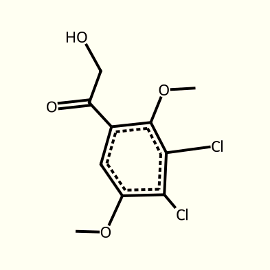 COc1cc(C(=O)CO)c(OC)c(Cl)c1Cl